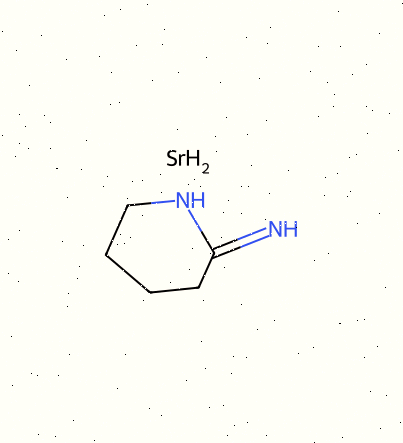 N=C1CCCCN1.[SrH2]